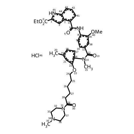 CCOC(=O)c1cc2c(C(=O)Nc3ccc(C(=O)N(C)c4ccc(C)cc4OCCCCCC(=O)N4CCN(C)CC4)cc3OC)cccc2[nH]1.Cl